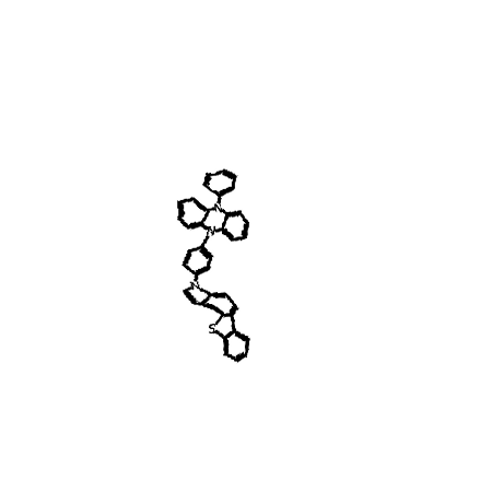 c1ccc(N2c3ccccc3N(c3ccc(-n4ccc5c6sc7ccccc7c6ccc54)cc3)c3ccccc32)cc1